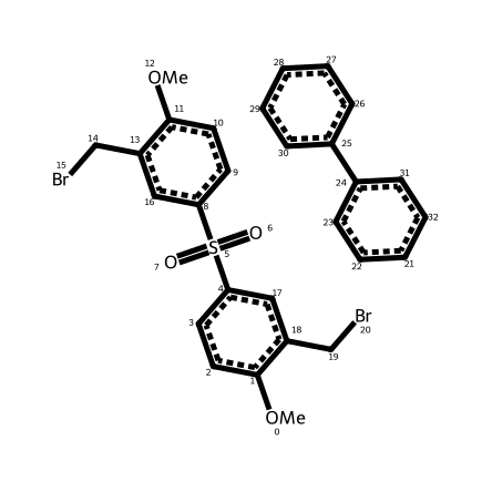 COc1ccc(S(=O)(=O)c2ccc(OC)c(CBr)c2)cc1CBr.c1ccc(-c2ccccc2)cc1